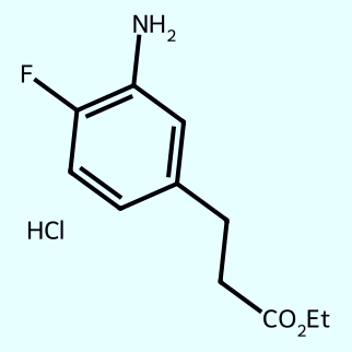 CCOC(=O)CCc1ccc(F)c(N)c1.Cl